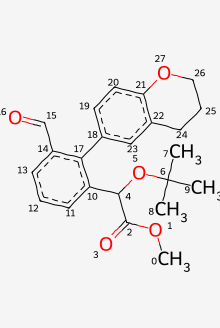 COC(=O)C(OC(C)(C)C)c1cccc(C=O)c1-c1ccc2c(c1)CCCO2